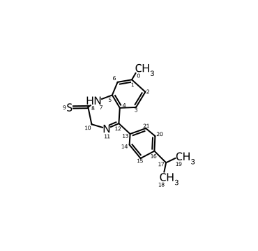 Cc1ccc2c(c1)NC(=S)CN=C2c1ccc(C(C)C)cc1